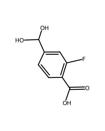 O=C(O)c1ccc(C(O)O)cc1F